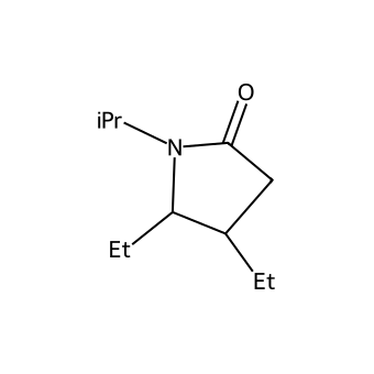 CCC1CC(=O)N(C(C)C)C1CC